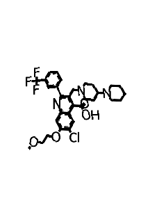 COCCOc1cc2nc(-c3cccc(C(F)(F)F)c3)c(CN3CCC(N4CCCCC4)CC3)c(C(=O)O)c2cc1Cl